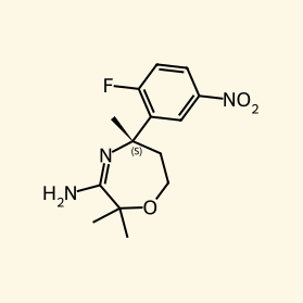 CC1(C)OCC[C@@](C)(c2cc([N+](=O)[O-])ccc2F)N=C1N